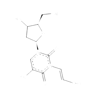 Cc1cn([C@H]2CC(O)[C@@H](CO)O2)c(=O)n(C=CC=O)c1=O